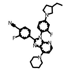 CCC1CCN(c2ccc(-n3c(-c4ccc(C#N)c(F)c4)nc4c(N5CCCCC5)ccnc43)c(F)c2)C1